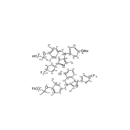 CCOC(=O)C(C)(C)Oc1c(C)cc(CN(Cc2ccccc2Cl)c2sc(-c3ccc(C(F)(F)F)cc3)nc2C)cc1C.COc1ccc(N(Cc2cc(C)c(OC(C)(C)C(=O)O)c(C)c2)c2sc(-c3ccc(C(F)(F)F)cc3)nc2C)cc1